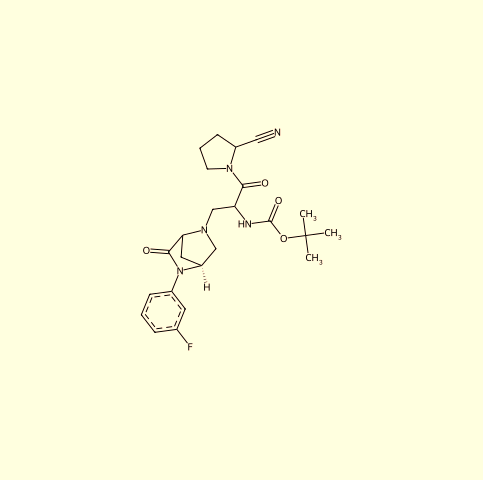 CC(C)(C)OC(=O)NC(CN1C[C@@H]2CC1C(=O)N2c1cccc(F)c1)C(=O)N1CCCC1C#N